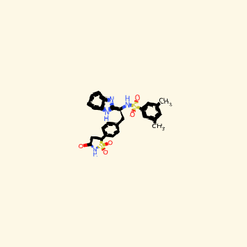 Cc1cc(C)cc(S(=O)(=O)N[C@@H](Cc2ccc(C3CC(=O)NS3(=O)=O)cc2)c2nc3ccccc3[nH]2)c1